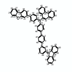 c1cc(-c2ccc(-c3ccc(N(c4ccc(-c5ccc6c(c5)oc5ccccc56)cc4)c4cc5ccccc5c5ccccc45)cc3)cc2)cc(-n2c3ccccc3c3ccccc32)c1